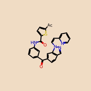 CC(=O)c1ccc(C(=O)Nc2cccc(C(=O)c3ccc4cnn(C=Cc5ccccn5)c4c3)c2)s1